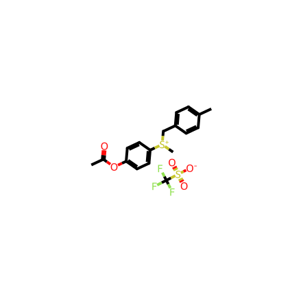 CC(=O)Oc1ccc([S+](C)Cc2ccc(C)cc2)cc1.O=S(=O)([O-])C(F)(F)F